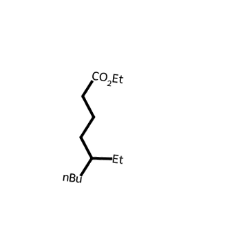 CCCCC(CC)CCCC(=O)OCC